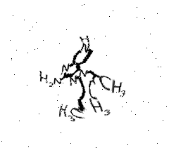 CCCCc1nc2c(N)nc3c(c2n1CC(C)C)C=CNC3